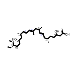 CC[C@H](OC)[C@@H](C)C[C@H](O)C[C@H](C)/C=C/C=C(\C)C[C@@H](C)/C=C/C[C@@H](C)CC[C@@H](O)CC(=O)O